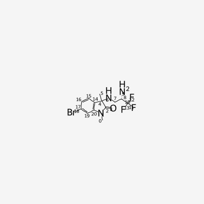 CN1C(=O)C(C)(NC[C@H](N)C(F)(F)F)c2ccc(Br)cc21